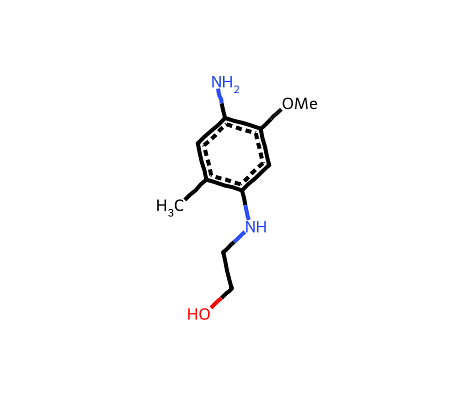 COc1cc(NCCO)c(C)cc1N